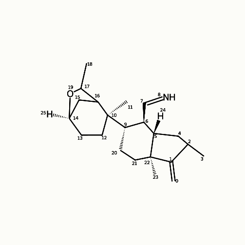 C=C1C(C)C[C@H]2[C@H](C=N)[C@@H]([C@@]3(C)CC[C@@H]4CC3C(C)O4)CC[C@]12C